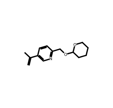 C=C(C)c1ccc(COC2CCCCO2)nc1